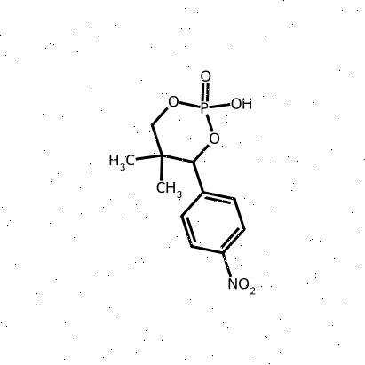 CC1(C)COP(=O)(O)OC1c1ccc([N+](=O)[O-])cc1